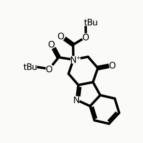 CC(C)(C)OC(=O)[N+]1(C(=O)OC(C)(C)C)CC(=O)C2C(=NC3=CC=CCC32)C1